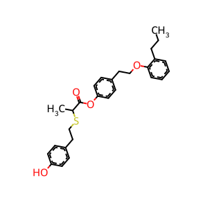 CCCc1ccccc1OCCc1ccc(OC(=O)C(C)SCCc2ccc(O)cc2)cc1